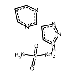 NS(N)(=O)=O.c1c[nH]nn1.c1cncnc1